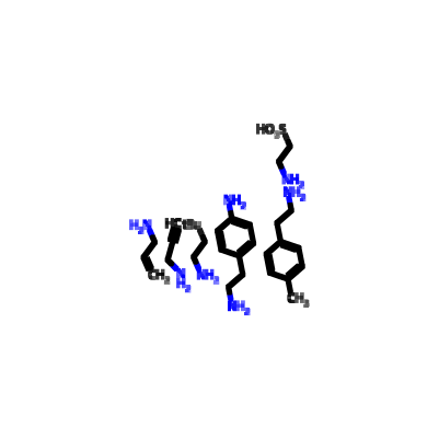 C#CCN.C=CCN.CC(C)(C)CCN.Cc1ccc(CCN)cc1.NCCS(=O)(=O)O.NCCc1ccc(N)cc1